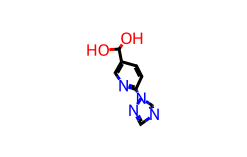 OC(O)c1ccc(-n2cncn2)nc1